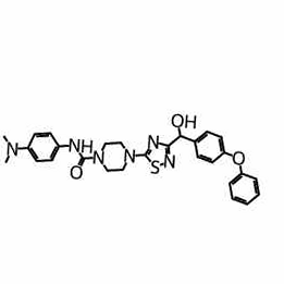 CN(C)c1ccc(NC(=O)N2CCN(c3nc(C(O)c4ccc(Oc5ccccc5)cc4)ns3)CC2)cc1